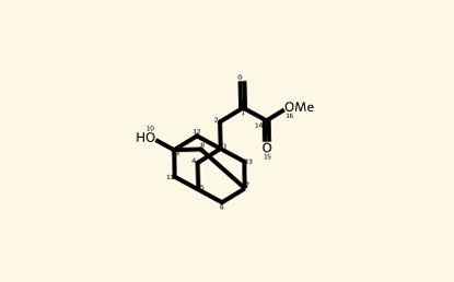 C=C(CC12CC3CC(CC(O)(C3)C1)C2)C(=O)OC